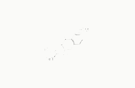 CCC[C@H](NC1CCc2cc(OC)ccc2C1)C(=O)O